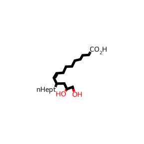 CCCCCCCC(/C=C\CCCCCCCC(=O)O)CC(O)CO